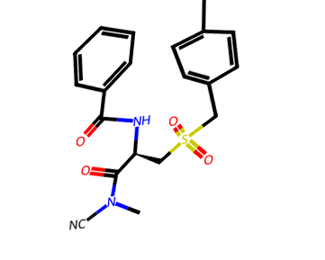 Cc1ccc(CS(=O)(=O)C[C@H](NC(=O)c2ccccc2)C(=O)N(C)C#N)cc1